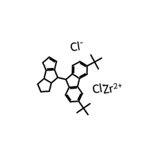 CC(C)(C)c1ccc2c(c1)-c1cc(C(C)(C)C)ccc1C2C1C2=C(CC=C2)C2CCCC21.[Cl-].[Cl-].[Zr+2]